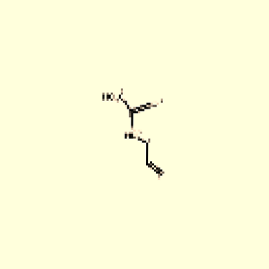 C=CCNC(=O)C(=O)O